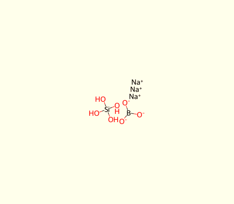 O[Si](O)(O)O.[Na+].[Na+].[Na+].[O-]B([O-])[O-]